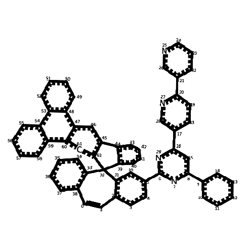 C1=Cc2ccc(-c3nc(-c4ccccc4)cc(-c4ccc(-c5cccnc5)nc4)n3)cc2C2(c3ccccc31)c1ccccc1-c1cc3c4ccccc4c4ccccc4c3cc12